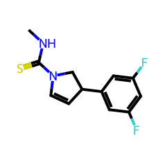 CNC(=S)N1C=CC(c2cc(F)cc(F)c2)C1